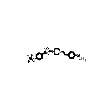 COc1ccc(CCN2CCN(c3nc(-c4ccc(OC(F)(F)F)cc4)ns3)CC2)cc1